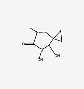 CN1CC2(CC2)C(O)N(O)C1=O